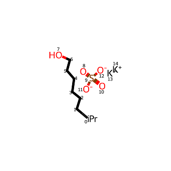 CC(C)CCCCCCO.O=S(=O)([O-])[O-].[K+].[K+]